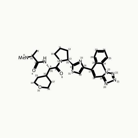 CN[C@@H](C)C(=O)N[C@H](C(=O)N1CCC[C@H]1c1nc(-c2cc3nnnn3c3ccccc23)cs1)C1CCOCC1